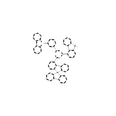 CC1(C)c2ccccc2-c2c(-c3nc(-c4cccc(-n5c6ccccc6c6ccccc65)c4)nc(-c4cccc5c4-c4ccccc4C54c5ccccc5-c5ccccc54)n3)cccc21